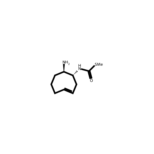 CSC(=O)N[C@@H]1C/C=C/CCC[C@H]1N